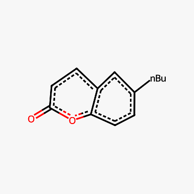 CCCCc1ccc2oc(=O)ccc2c1